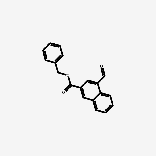 O=[C]c1cc(C(=O)OCc2ccccc2)cc2ccccc12